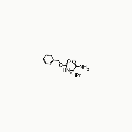 CC(C)[C@H](NC(=O)OCc1ccccc1)C(N)=O